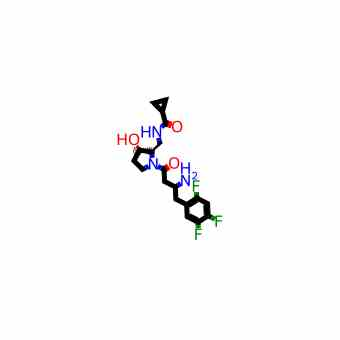 NC(CC(=O)N1CC[C@@H](O)[C@H]1CNC(=O)C1CC1)Cc1cc(F)c(F)cc1F